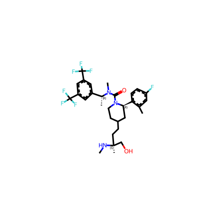 CN[C@](C)(CO)CCC1CCN(C(=O)N(C)[C@H](C)c2cc(C(F)(F)F)cc(C(F)(F)F)c2)[C@@H](c2ccc(F)cc2C)C1